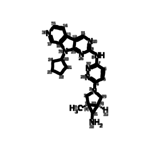 C[C@]12CN(c3ccc(Nc4ncc5c6ccncc6n(C6CCCC6)c5n4)nn3)C[C@H]1C2N